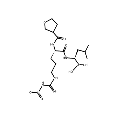 CC(C)C[C@H](NC(=O)[C@H](CCCNC(=N)N[N+](=O)[O-])NC(=O)C1CCOC1)B(O)O